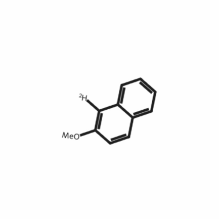 [2H]c1c(OC)ccc2ccccc12